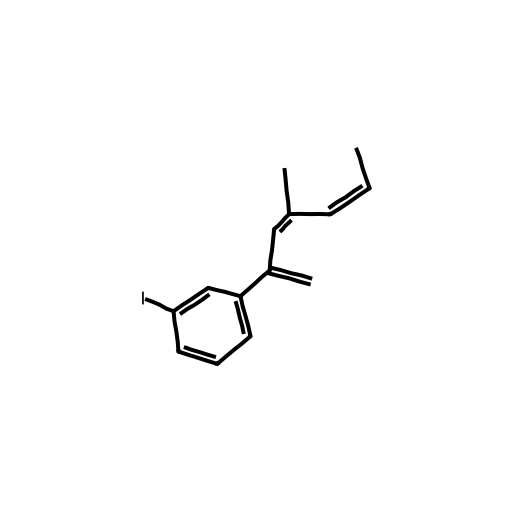 C=C(/C=C(C)\C=C/C)c1cccc(I)c1